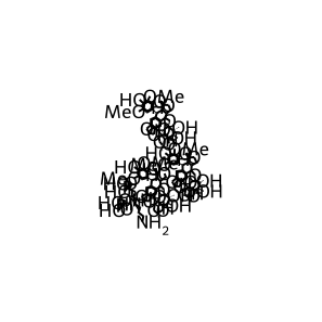 COc1cc([C@@H]2c3cc4c(cc3C(O[C@@H]3O[C@@H]5CO[C@@H](C)O[C@H]5[C@H](O)[C@H]3O)C3COC(=O)[C@@H]32)OCO4)cc(OC)c1O.COc1cc([C@@H]2c3cc4c(cc3C(O[C@@H]3O[C@@H]5CO[C@@H](C)O[C@H]5[C@H](O)[C@H]3O)C3COC(=O)[C@@H]32)OCO4)cc(OC)c1O.COc1cc([C@@H]2c3cc4c(cc3C(O[C@@H]3O[C@@H]5CO[C@@H](C)O[C@H]5[C@H](O)[C@H]3O)C3COC(=O)[C@@H]32)OCO4)cc(OC)c1O.NCCCNCCSP(=O)(O)O.O=P(O)(O)O